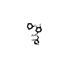 CC(C)N(Cc1cnc[nH]1)c1ccc(F)c(Oc2ccccc2)c1